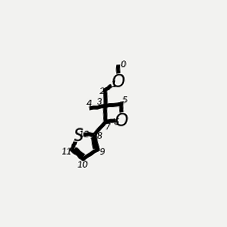 COCC1(C)COC1c1cccs1